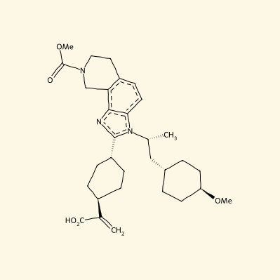 C=C(C(=O)O)[C@H]1CC[C@H](c2nc3c4c(ccc3n2[C@H](C)C[C@H]2CC[C@H](OC)CC2)CCN(C(=O)OC)C4)CC1